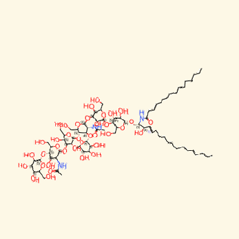 CCCCCCCCCCCCC/C=C/[C@@H](O)[C@H](CO[C@@H]1OC(CO)[C@@H](O[C@@H]2OC(CO)[C@H](O)[C@H](O[C@@H]3OC(CO)[C@@H](O[C@@H]4OC(CO)[C@H](O)[C@H](O[C@@H]5OC(CO)[C@@H](O[C@@H]6OC(CO)[C@H](O)[C@H](O)C6O)[C@H](O)C5NC(C)=O)C4O)[C@H](O[C@H]4OC(C)[C@@H](O)C(O)[C@@H]4O)C3NC(C)=O)C2O)[C@H](O)C1O)NC(=O)CCCCCCCCCCCCCCC